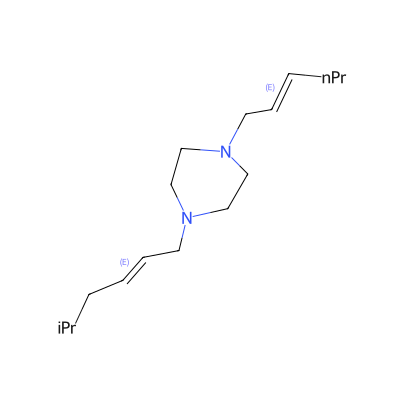 CCC/C=C/CN1CCN(C/C=C/CC(C)C)CC1